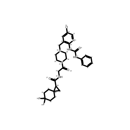 O=C(Nc1ccccc1)Nc1ncc(Cl)cc1CN1CCN(C(=O)CNC(=O)C2CC23CCC(F)(F)CC3)CC1